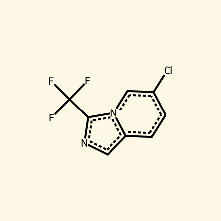 FC(F)(F)c1ncc2ccc(Cl)cn12